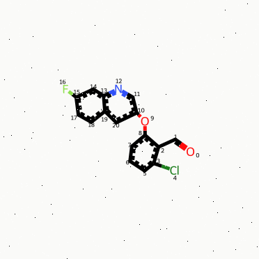 O=Cc1c(Cl)cccc1Oc1cnc2cc(F)ccc2c1